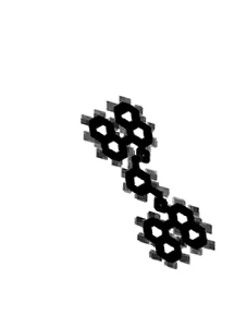 c1cc(COc2ccc3ccccc3c2-c2cccc3ccccc23)cc(COc2ccc3ccccc3c2-c2cccc3ccccc23)c1